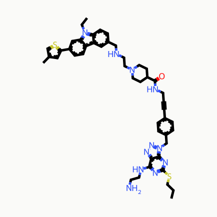 CCCSc1nc(NCCN)c2nnn(Cc3ccc(C#CCNC(=O)C4CCN(CCNCc5ccc6c(c5)c5ccc(-c7cc(C)cs7)cc5n6CC)CC4)cc3)c2n1